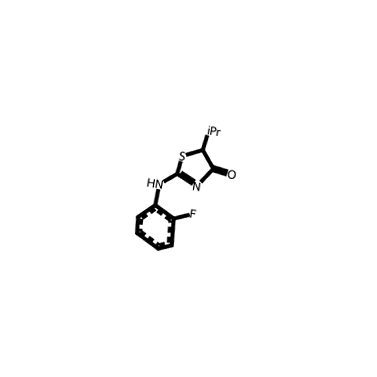 CC(C)C1SC(Nc2ccccc2F)=NC1=O